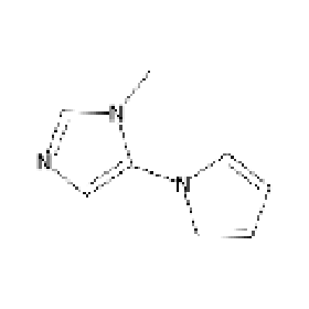 Cn1cncc1-n1cccc1